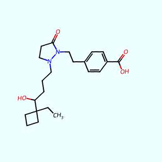 CCC1(C(O)CCCN2CCC(=O)N2CCc2ccc(C(=O)O)cc2)CCC1